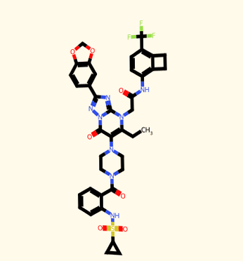 CCc1c(N2CCN(C(=O)c3ccccc3NS(=O)(=O)C3CC3)CC2)c(=O)n2nc(-c3ccc4c(c3)OCO4)nc2n1CC(=O)Nc1ccc(C(F)(F)F)c2c1CC2